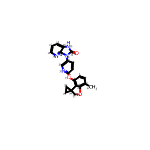 Cc1ccc(Oc2ccc(-n3c(=O)[nH]c4cccnc43)cn2)c2c1OCC21CC1